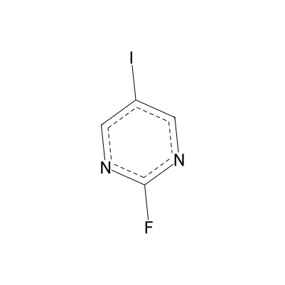 Fc1ncc(I)cn1